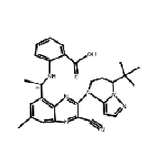 Cc1cc([C@@H](C)Nc2ccccc2C(=O)O)c2nc(N3CCC(C(C)(C)C)n4nccc43)c(C#N)nc2c1